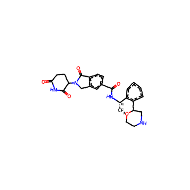 O=C1CCC(N2Cc3cc(C(=O)N[C@H](c4ccccc4C4CNCCO4)C(F)(F)F)ccc3C2=O)C(=O)N1